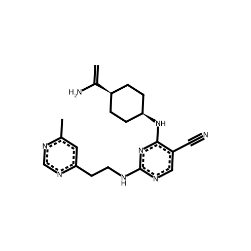 C=C(N)[C@H]1CC[C@@H](Nc2nc(NCCc3cc(C)ncn3)ncc2C#N)CC1